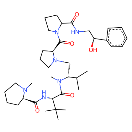 CC(C)[C@@H](CN1CCC[C@H]1C(=O)N1CCCC1C(=O)NC[C@H](O)c1ccccc1)N(C)C(=O)[C@@H](NC(=O)[C@H]1CCCCN1C)C(C)(C)C